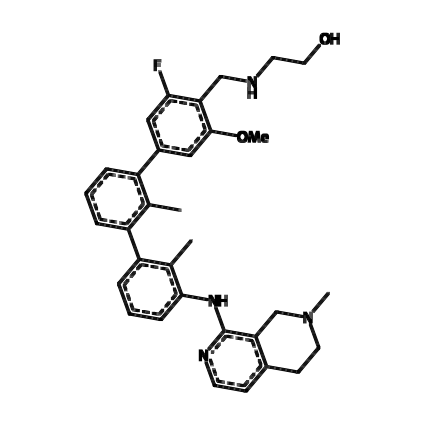 COc1cc(-c2cccc(-c3cccc(Nc4nccc5c4CN(C)CC5)c3C)c2C)cc(F)c1CNCCO